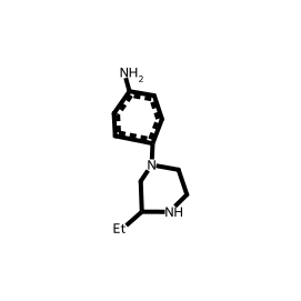 CCC1CN(c2ccc(N)cc2)CCN1